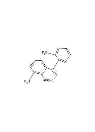 O=C/C=C(/c1ccccc1C(F)(F)F)c1cccc([N+](=O)[O-])c1O